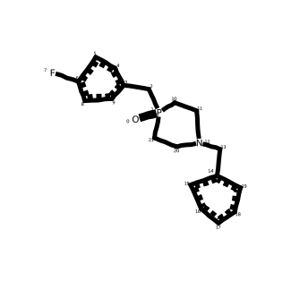 O=P1(Cc2ccc(F)cc2)CCN(Cc2ccccc2)CC1